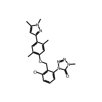 Cc1cc(-c2cc(C)n(C)n2)c(C)cc1OCc1c(Cl)cccc1-n1nnn(C)c1=O